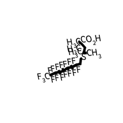 CC(C)(CC(C)(C)C(=O)O)SCCC(F)(F)C(F)(F)C(F)(F)C(F)(F)C(F)(F)C(F)(F)C(F)(F)C(F)(F)F